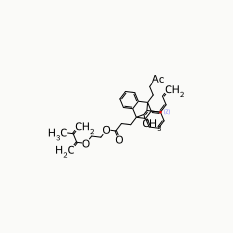 C=C/C=C\C1=C(C)C2(CCC(=O)OCCOC(=C)C(=C)C)c3ccccc3C1(CCC(C)=O)c1ccccc12